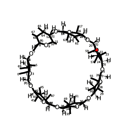 CC1[C@@H]2OC(C)[C@@H](O[C@H]3OC(C)[C@@H](O[C@@H]4OC(C)[C@@H](O[C@@H]5OC(C)[C@@H](O[C@H]6OC(C)[C@@H](O[C@@H]7OC(C)[C@@H](O[C@H]8OC(C)[C@@H](O2)[C@H](C)C8C)[C@H](C)C7C)[C@H](C)C6C)[C@H](C)C5C)[C@H](C)C4C)[C@H](C)C3C)[C@@H]1C